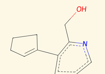 OCc1ncccc1C1=CCCC1